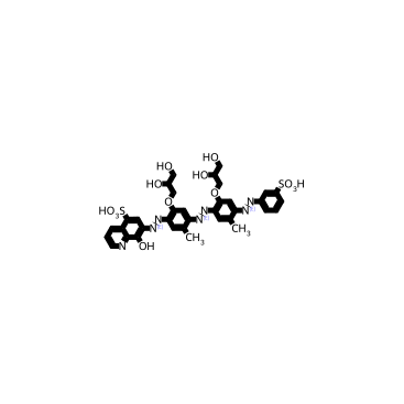 Cc1cc(/N=N/c2cc(OCC(O)CO)c(/N=N/c3cc(S(=O)(=O)O)c4cccnc4c3O)cc2C)c(OCC(O)CO)cc1/N=N/c1cccc(S(=O)(=O)O)c1